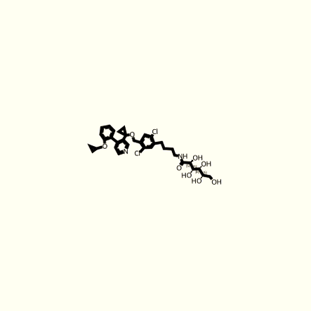 O=C(NCCCCc1cc(Cl)c(COC2(c3cnccc3-c3ccccc3OC3CC3)CC2)cc1Cl)[C@@H](O)[C@@H](O)[C@H](O)[C@@H](O)CO